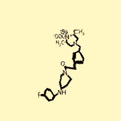 C[C@@H]1CN(Cc2ccc(CC(=O)N3CCC(Nc4ccc(F)cc4)CC3)cc2)C[C@H](C)[N+]1(C(=O)[O-])C(C)(C)C